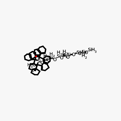 CC(C1=CCCCC1)(C1=CCCCC1)[Si](O[SiH2]O[SiH2]O[SiH2]O[SiH2]O[SiH2]O[SiH2]O[SiH2]O[SiH3])(C(C1=CCCCC1)(C1=CCCCC1)C1=CCCCC1)C(C1=CCCCC1)(C1=CCCCC1)C1=CCCCC1